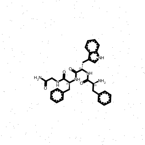 NC(=O)CNC(=O)[C@H](Cc1ccccc1)NC(=O)[C@H](Cc1c[nH]c2ccccc12)NC(=O)[C@@H](N)Cc1ccccc1